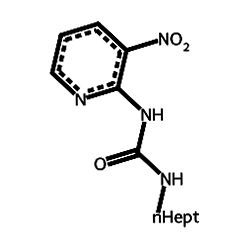 CCCCCCCNC(=O)Nc1ncccc1[N+](=O)[O-]